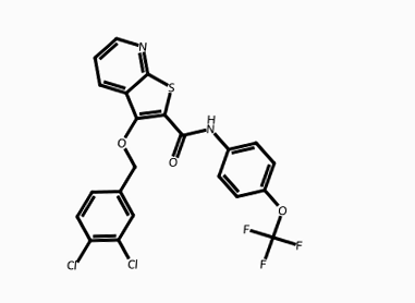 O=C(Nc1ccc(OC(F)(F)F)cc1)c1sc2ncccc2c1OCc1ccc(Cl)c(Cl)c1